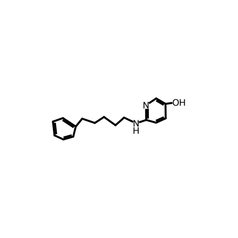 Oc1ccc(NCCCCCc2ccccc2)nc1